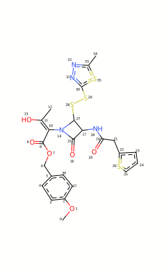 COc1ccc(COC(=O)C(=C(C)O)N2C(=O)C(NC(=O)Cc3cccs3)C2SSc2nnc(C)s2)cc1